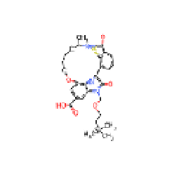 CC1CCCCOc2cc(C(=O)O)cc3c2nc(c(=O)n3COCC[Si](C)(C)C)-c2cccc3c(=O)n1sc23